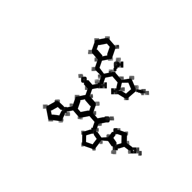 Cc1csc([C@H]2CCCN2C(=O)c2cc(C(=O)N[C@@H](Cc3ccccc3)[C@H](O)[C@H]3C[C@H](F)CN3)cc(-n3cccc3)c2)n1